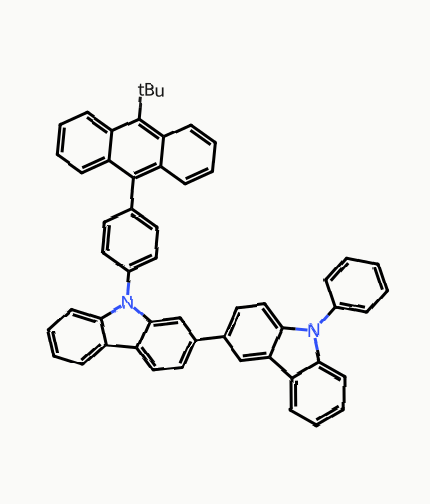 CC(C)(C)c1c2ccccc2c(-c2ccc(-n3c4ccccc4c4ccc(-c5ccc6c(c5)c5ccccc5n6-c5ccccc5)cc43)cc2)c2ccccc12